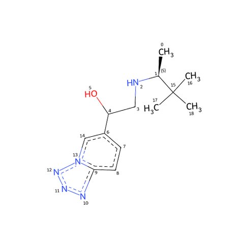 C[C@H](NCC(O)c1ccc2nnnn2c1)C(C)(C)C